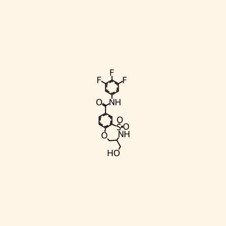 O=C(Nc1cc(F)c(F)c(F)c1)c1ccc2c(c1)S(=O)(=O)NC(CO)CO2